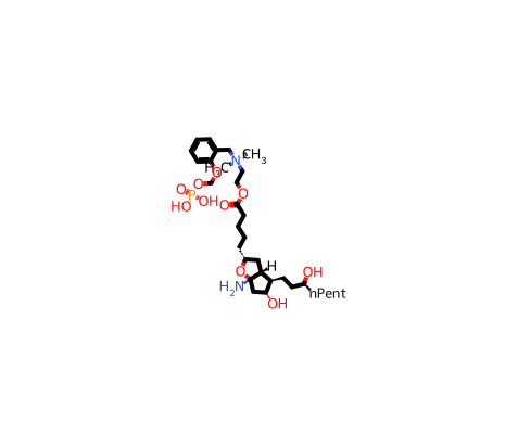 CCCCC[C@H](O)CC[C@H]1[C@H](O)C[C@]2(N)O[C@H](CCCCC(=O)OCC[N+](C)(C)Cc3ccccc3OCOP(=O)(O)O)C[C@H]12